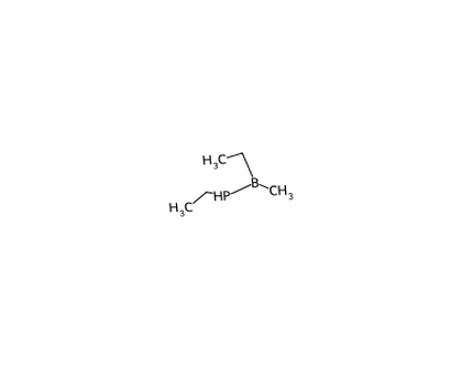 CCPB(C)CC